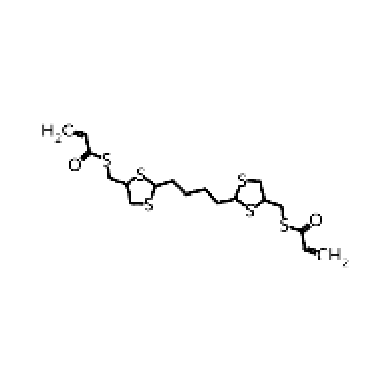 C=CC(=O)SCC1CSC(CCCCC2SCC(CSC(=O)C=C)S2)S1